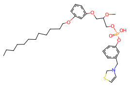 CCCCCCCCCCCCOc1cccc(OCC(COP(=O)(O)Oc2cccc(CN3C=CSC3)c2)OC)c1